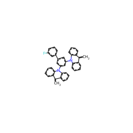 C=C1c2ccccc2N(c2cc(-c3cccc(F)c3)cc(N3c4ccccc4C(=C)c4ccccc43)c2)c2ccccc21